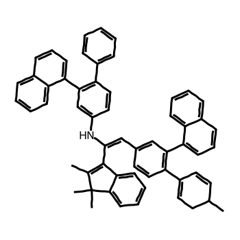 CC1=C(/C(=C\c2ccc(C3=CCC(C)C=C3)c(-c3cccc4ccccc34)c2)Nc2ccc(-c3ccccc3)c(-c3cccc4ccccc34)c2)c2ccccc2C1(C)C